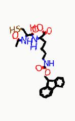 CC(=O)NC(CS)C(=O)NC(CCCCNC(=O)OCC1c2ccccc2-c2ccccc21)C(=O)O